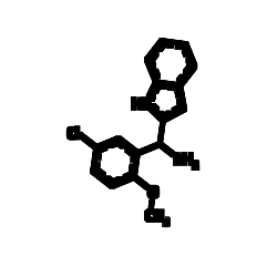 COc1ccc(Cl)cc1C(N)c1cc2ccccc2[nH]1